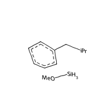 CC(C)Cc1ccccc1.CO[SiH3]